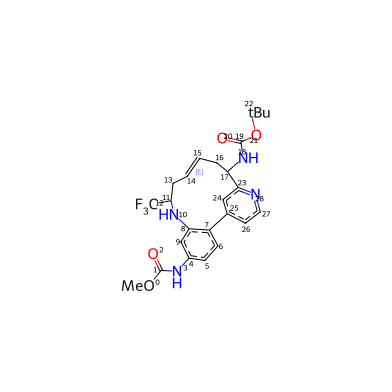 COC(=O)Nc1ccc2c(c1)NC(C(F)(F)F)C/C=C/CC(NC(=O)OC(C)(C)C)c1cc-2ccn1